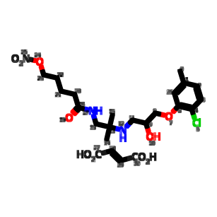 Cc1ccc(Cl)c(OCC(O)CNC(C)(C)CNC(=O)CCCCO[N+](=O)[O-])c1.O=C(O)C=CC(=O)O